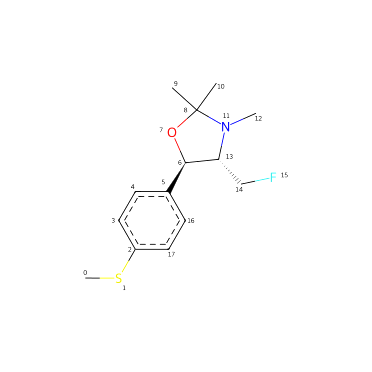 CSc1ccc([C@H]2OC(C)(C)N(C)[C@@H]2CF)cc1